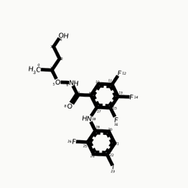 CC(CCO)ONC(=O)c1cc(F)c(F)c(F)c1Nc1ccc(I)cc1F